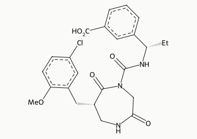 CC[C@H](NC(=O)N1CC(=O)NC[C@H](Cc2cc(Cl)ccc2OC)C1=O)c1cccc(C(=O)O)c1